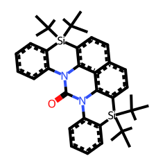 CC(C)(C)[Si]1(C(C)(C)C)c2ccccc2N2C(=O)N3c4ccccc4[Si](C(C)(C)C)(C(C)(C)C)c4ccc5ccc1c2c5c43